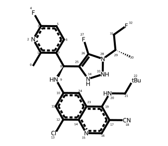 Cc1nc(F)ccc1[C@H](Nc1cc(Cl)c2ncc(C#N)c(NCC(C)(C)C)c2c1)C1=C(F)N([C@@H](C)CF)NN1